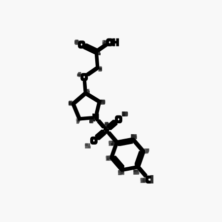 O=C(O)COC1CCN(S(=O)(=O)c2ccc(Cl)cc2)C1